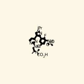 CC(C)n1cc(-c2ccnc(NC[C@H](C)N(C)C(=O)O)n2)c(-c2cc(Cl)cc(NS(C)(=O)=O)c2F)n1